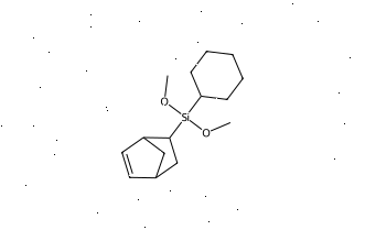 CO[Si](OC)(C1CCCCC1)C1CC2C=CC1C2